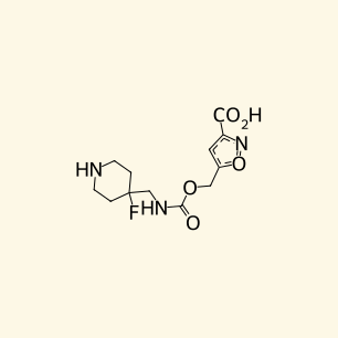 O=C(NCC1(F)CCNCC1)OCc1cc(C(=O)O)no1